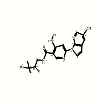 CC(C)Nc1cc(-n2ccc3cc(C#N)cnc32)ncc1C(=O)NC[C@@H](F)C(C)(C)O